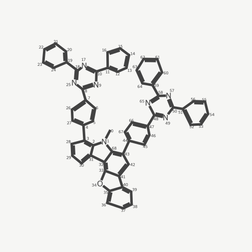 Cn1c2c(-c3ccc(-c4nc(-c5ccccc5)nc(-c5ccccc5)n4)cc3)cccc2c2c3oc4ccccc4c3cc(-c3ccc(-c4nc(-c5ccccc5)nc(-c5ccccc5)n4)cc3)c21